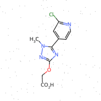 Cn1nc(OCC(=O)O)nc1-c1ccnc(Cl)c1